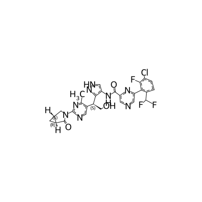 Cc1nc(N2C[C@H]3C[C@H]3C2=O)ncc1[C@H](CO)c1n[nH]cc1NC(=O)c1cncc(-c2c(C(F)F)ccc(Cl)c2F)n1